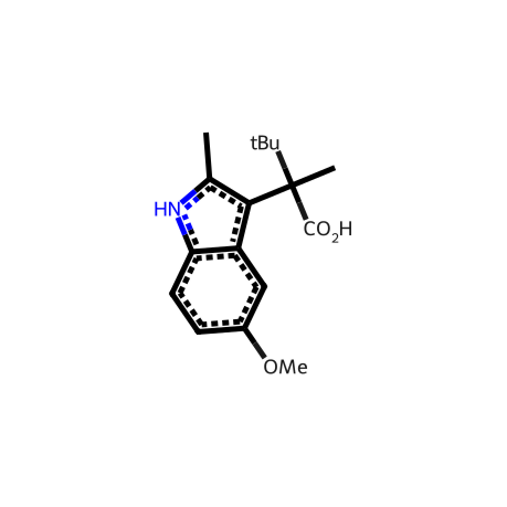 COc1ccc2[nH]c(C)c(C(C)(C(=O)O)C(C)(C)C)c2c1